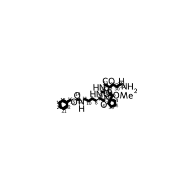 COC(=O)C1(NC(=O)[C@@H](CCCCNC(=O)OCc2ccccc2)NC(=O)N[C@@H](CCCCN)C(=O)O)CCCC1